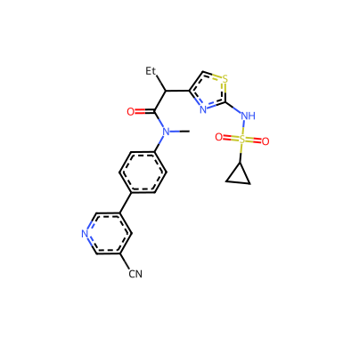 CCC(C(=O)N(C)c1ccc(-c2cncc(C#N)c2)cc1)c1csc(NS(=O)(=O)C2CC2)n1